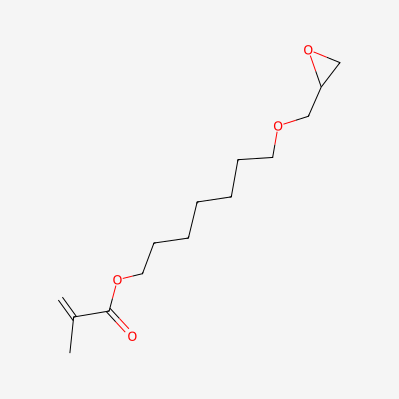 C=C(C)C(=O)OCCCCCCCOCC1CO1